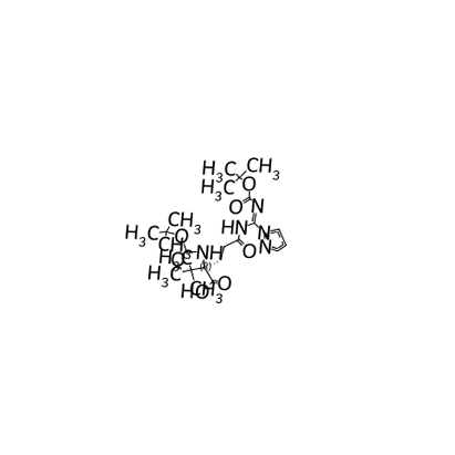 CC(C)(C)OC(=O)N=C(NC(=O)CC[C@](NC(=O)OC(C)(C)C)(C(=O)O)C(C)(C)C)n1cccn1